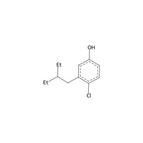 CCC(CC)Cc1cc(O)ccc1Cl